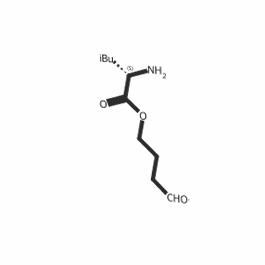 CCC(C)[C@H](N)C(=O)OCCC[C]=O